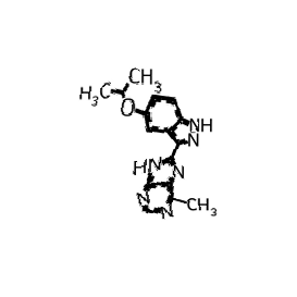 Cc1ncnc2[nH]c(-c3n[nH]c4ccc(OC(C)C)cc34)nc12